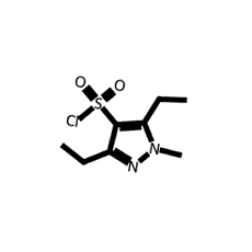 CCc1nn(C)c(CC)c1S(=O)(=O)Cl